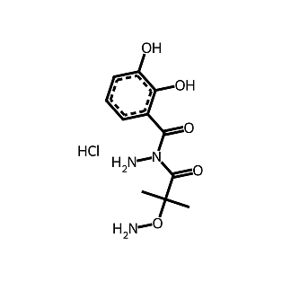 CC(C)(ON)C(=O)N(N)C(=O)c1cccc(O)c1O.Cl